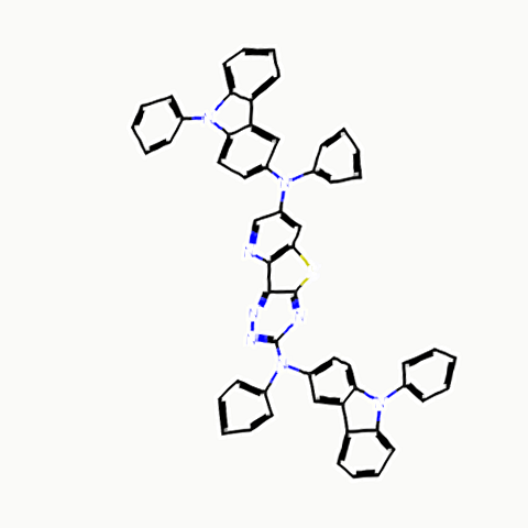 c1ccc(N(c2cnc3c(c2)sc2nc(N(c4ccccc4)c4ccc5c(c4)c4ccccc4n5-c4ccccc4)nnc23)c2ccc3c(c2)c2ccccc2n3-c2ccccc2)cc1